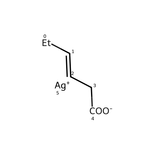 CCC=CCC(=O)[O-].[Ag+]